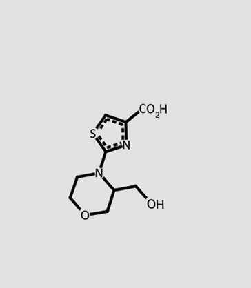 O=C(O)c1csc(N2CCOCC2CO)n1